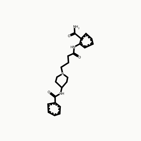 NC(=O)c1ccccc1NC(=O)CCCN1CCC(NC(=O)c2ccccc2)CC1